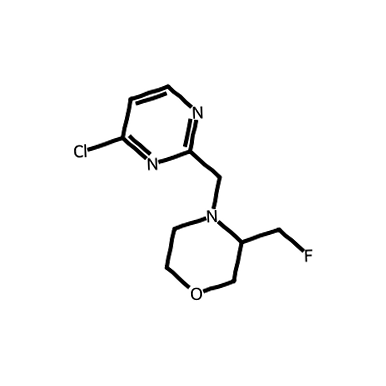 FCC1COCCN1Cc1nccc(Cl)n1